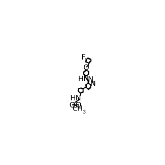 CS(=O)(=O)CCNCc1cccc(-c2ccc3ncnc(Nc4ccc(OCc5cccc(F)c5)cc4)c3c2)c1